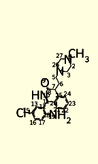 CN1CCN(CCC2C(=O)NC(c3cc(Cl)ccc3N)c3ccccc32)CC1